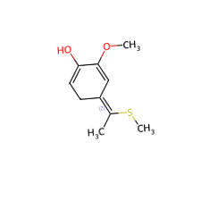 COC1=C/C(=C(/C)SC)CC=C1O